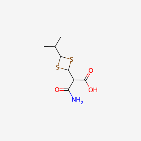 CC(C)C1SC(C(C(N)=O)C(=O)O)S1